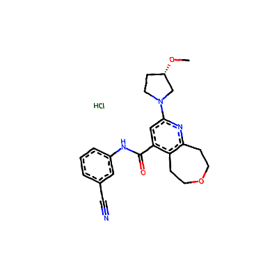 CO[C@H]1CCN(c2cc(C(=O)Nc3cccc(C#N)c3)c3c(n2)CCOCC3)C1.Cl